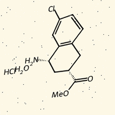 COC(=O)[C@H]1Cc2ccc(Cl)cc2[C@@H](N)C1.Cl.O